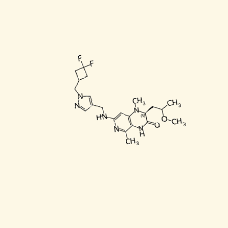 COC(C)C[C@H]1C(=O)Nc2c(cc(NCc3cnn(CC4CC(F)(F)C4)c3)nc2C)N1C